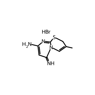 Br.CC1=Cn2c(nc(N)cc2=N)SC1